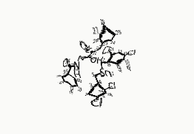 Clc1ccc([CH2][Sn][CH2]c2ccc(Cl)cc2Cl)c(Cl)c1.O=C=C(Cc1ccccc1)C(O)=NNC(=O)c1ccccc1